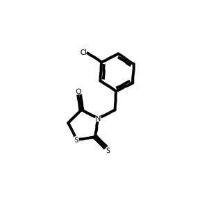 O=C1CSC(=S)N1Cc1cccc(Cl)c1